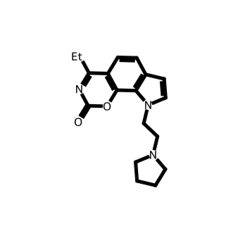 CCc1nc(=O)oc2c1ccc1ccn(CCN3CCCC3)c12